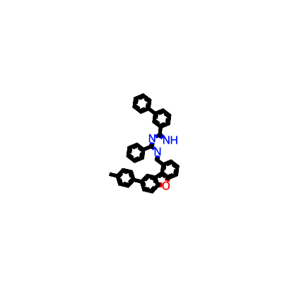 Cc1ccc(-c2ccc3oc4cccc(/C=N/C(=N\C(=N)c5cccc(-c6ccccc6)c5)c5ccccc5)c4c3c2)cc1